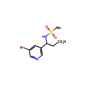 CC(C)(C)S(=O)(=O)NC(CC(=O)O)c1cncc(Br)c1